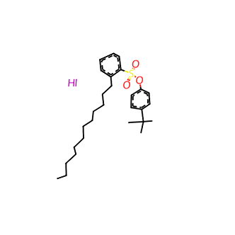 CCCCCCCCCCCCc1ccccc1S(=O)(=O)Oc1ccc(C(C)(C)C)cc1.I